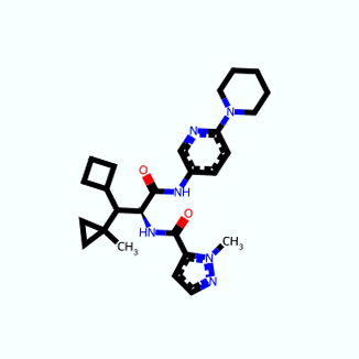 Cn1nccc1C(=O)N[C@H](C(=O)Nc1ccc(N2CCCCC2)nc1)C(C1CCC1)C1(C)CC1